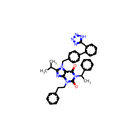 CC(C)c1nc2c(c(=O)n(C(C)c3ccccc3)c(=O)n2CCc2ccccc2)n1Cc1ccc(-c2ccccc2-c2nnn[nH]2)cc1